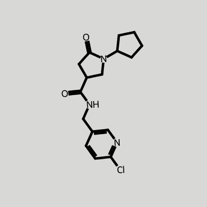 O=C(NCc1ccc(Cl)nc1)C1CC(=O)N(C2CCCC2)C1